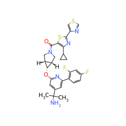 CC(C)(N)c1cc(O[C@@H]2[C@@H]3CN(C(=O)c4sc(-c5cscn5)nc4C4CC4)C[C@@H]32)nc(-c2ccc(F)cc2F)c1